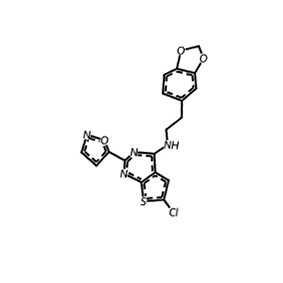 Clc1cc2c(NCCc3ccc4c(c3)OCO4)nc(-c3ccno3)nc2s1